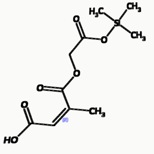 C/C(=C/C(=O)O)C(=O)OCC(=O)O[Si](C)(C)C